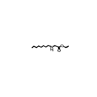 CCCCCCCCNCC(=O)OCC